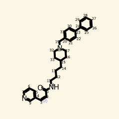 O=C(/C=C\c1cccnc1)NCCCCC1CCN(Cc2ccc(-c3ccccc3)cc2)CC1